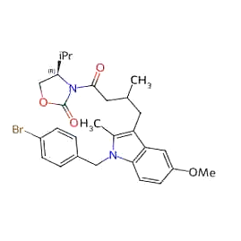 COc1ccc2c(c1)c(CC(C)CC(=O)N1C(=O)OC[C@H]1C(C)C)c(C)n2Cc1ccc(Br)cc1